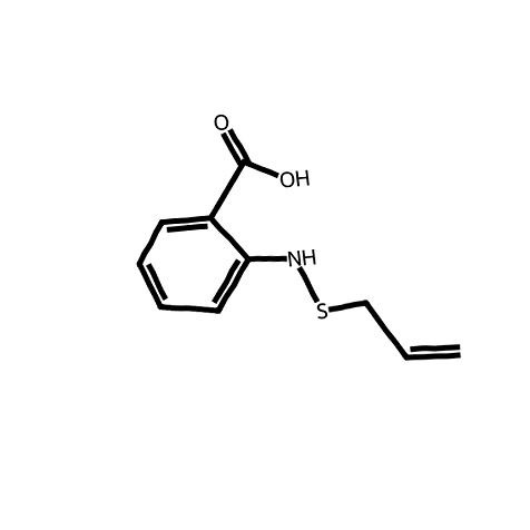 C=CCSNc1ccccc1C(=O)O